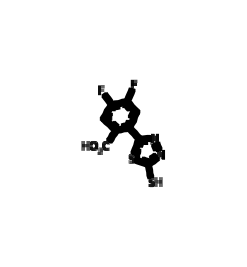 O=C(O)c1cc(F)c(F)cc1-c1nnc(S)s1